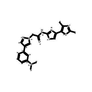 Cc1nc(C)c(-c2csc(NC(=O)Cn3cc(-c4cccc(N(C)C)c4)cn3)n2)s1